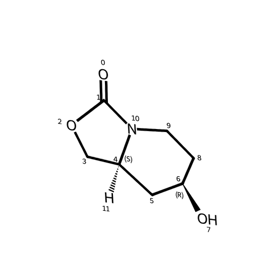 O=C1OC[C@@H]2C[C@H](O)CCN12